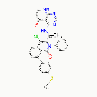 C[C@H](Nc1ncnc2[nH]ccc(=O)c12)c1c(Cl)c2cccc(-c3ccc(SC4CC4)cc3)c2c(=O)n1-c1ccccc1